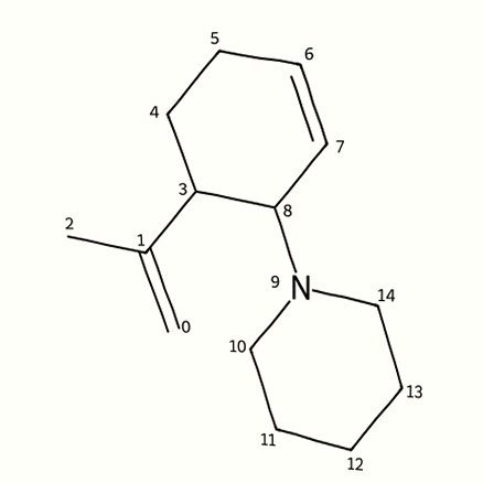 C=C(C)C1CCC=CC1N1CCCCC1